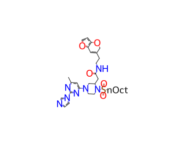 CCCCCCCCS(=O)(=O)N1CCN(c2cc(C)nc(-n3ccnc3)n2)CC1CC(=O)NCCC1=Cc2occc2OC1